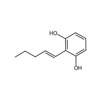 CCCC=Cc1c(O)cccc1O